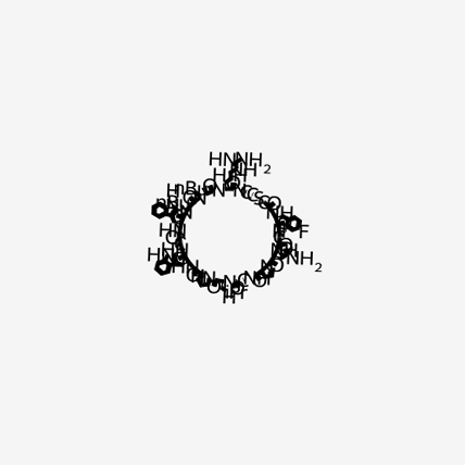 CCCC[C@H]1C(=O)N(C)[C@@H](CCCC)C(=O)N[C@@H](CCCNC(=N)N)C(=O)NCCSCC(=O)N[C@@H](Cc2ccc(F)cc2)C(=O)N(C)CC(=O)N[C@@H](CC(N)=O)C(=O)N2CCCC2C(=O)NCC(=O)N[C@@H](CC(C)C)C(=O)N2CCC[C@H]2C(=O)N[C@@H](Cc2c[nH]c3ccccc23)C(=O)NCC(=O)N[C@@H](Cc2c[nH]c3ccccc23)C(=O)N1C